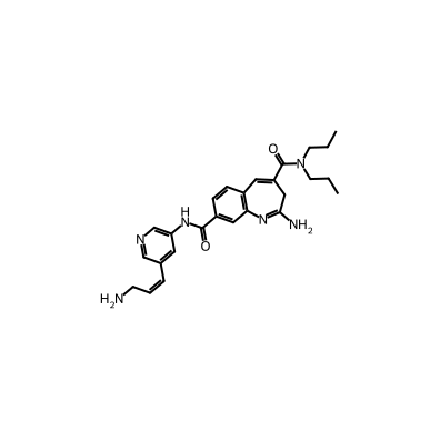 CCCN(CCC)C(=O)C1=Cc2ccc(C(=O)Nc3cncc(/C=C\CN)c3)cc2N=C(N)C1